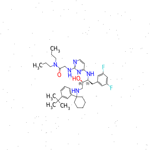 CCCN(CCC)C(=O)CNc1nccc(N[C@@H](Cc2cc(F)cc(F)c2)[C@H](O)CNC2(c3cccc(C(C)(C)C)c3)CCCCC2)n1